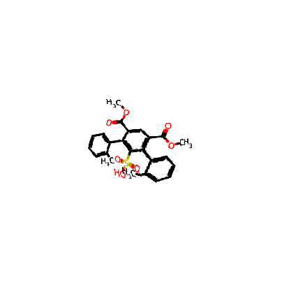 COC(=O)c1cc(C(=O)OC)c(-c2ccccc2C)c(S(=O)(=O)O)c1-c1ccccc1C